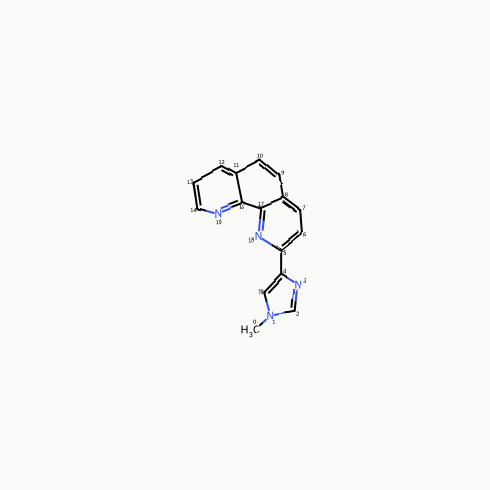 Cn1cnc(-c2ccc3ccc4cccnc4c3n2)c1